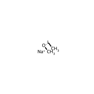 CI.C[O-].[Na+]